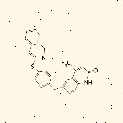 O=c1cc(C(F)(F)F)c2cc(Cc3ccc(Sc4cc5ccccc5cn4)cc3)ccc2[nH]1